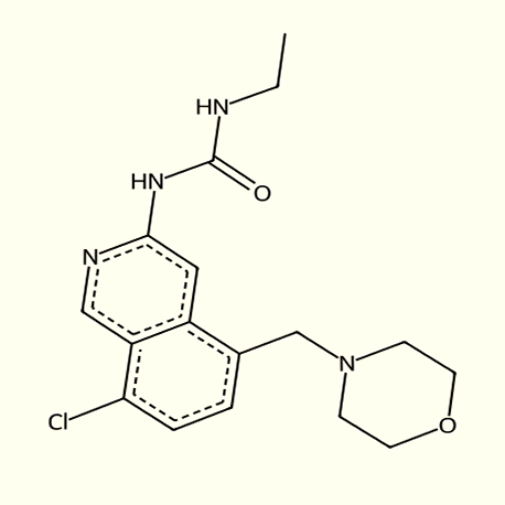 CCNC(=O)Nc1cc2c(CN3CCOCC3)ccc(Cl)c2cn1